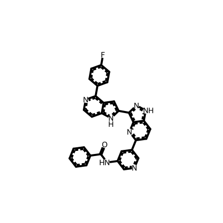 O=C(Nc1cncc(-c2ccc3[nH]nc(-c4cc5c(-c6ccc(F)cc6)nccc5[nH]4)c3n2)c1)c1ccccc1